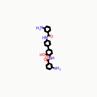 Nc1cccc(C(=O)NC2=CC=C(c3ccc(NC(=O)c4cccc(N)c4)cc3)CC2(O)O)c1